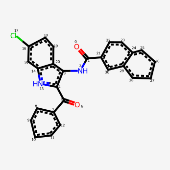 O=C(Nc1c(C(=O)c2ccccc2)[nH]c2cc(Cl)ccc12)c1ccc2ccccc2c1